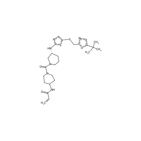 C=CC(=O)NC1CCN(C(=O)N2CCC[C@@H](Nc3ncc(SCc4ncc(C(C)(C)C)o4)s3)C2)CC1